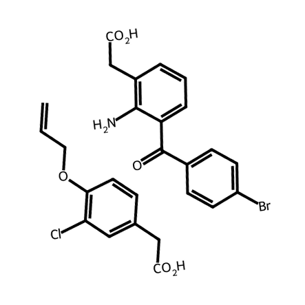 C=CCOc1ccc(CC(=O)O)cc1Cl.Nc1c(CC(=O)O)cccc1C(=O)c1ccc(Br)cc1